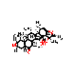 C=C1OC2=C[C@@H](C)[C@H]3[C@@H]([C@H](O)[C@H]4[C@H]5C([C@H](C)[C@H](OC(C)=O)[C@]34C)[C@]3(C)[C@H](C[C@@H]4O[C@@H]4[C@@H]3OC(C)=O)C(=O)[C@@H]5OC(C)=O)[C@@]2(C)[C@]1(C)O